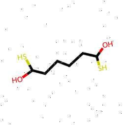 OC(S)CCCCC(O)S